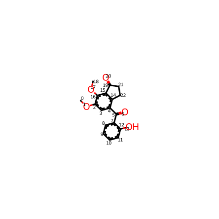 COc1cc(C(=O)c2ccccc2O)c2c(c1OC)C(=O)CC2